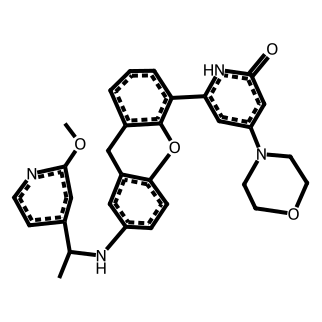 COc1cc(C(C)Nc2ccc3c(c2)Cc2cccc(-c4cc(N5CCOCC5)cc(=O)[nH]4)c2O3)ccn1